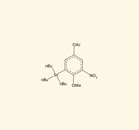 CCC[CH2][Sn]([CH2]CCC)([CH2]CCC)[c]1cc(OC(C)=O)cc([N+](=O)[O-])c1OC